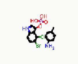 Cc1ccc(N)cc1.O=P(O)(O)Oc1c[nH]c2ccc(Br)c(Cl)c12